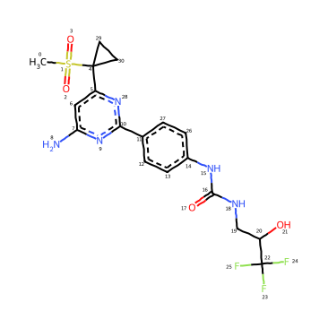 CS(=O)(=O)C1(c2cc(N)nc(-c3ccc(NC(=O)NCC(O)C(F)(F)F)cc3)n2)CC1